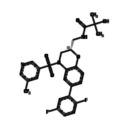 CC(C)(O)C(=O)NC[C@H]1CN(S(=O)(=O)c2cncc(C(F)(F)F)c2)c2cc(-c3cc(F)ccc3F)ccc2O1